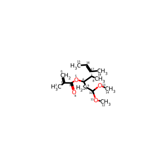 C=C(C)C(=O)OC(CC)[SiH2]C(OC)OC.CC=CC